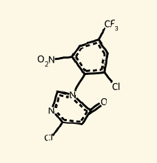 O=c1cc(Cl)ncn1-c1c(Cl)cc(C(F)(F)F)cc1[N+](=O)[O-]